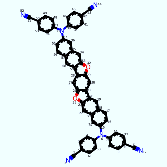 N#Cc1ccc(N(c2ccc(C#N)cc2)c2ccc3cc4c(cc3c2)oc2cc3c(cc24)oc2cc4cc(N(c5ccc(C#N)cc5)c5ccc(C#N)cc5)ccc4cc23)cc1